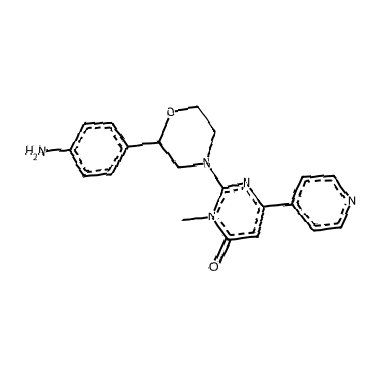 Cn1c(N2CCOC(c3ccc(N)cc3)C2)nc(-c2ccncc2)cc1=O